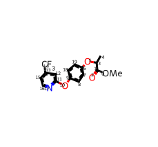 COC(=O)C(C)Oc1ccc(Oc2cc(C(F)(F)F)ccn2)cc1